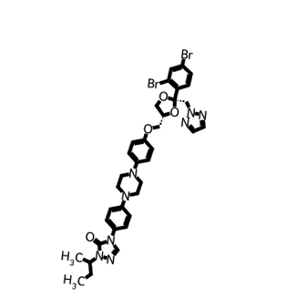 CCC(C)n1ncn(-c2ccc(N3CCN(c4ccc(OC[C@@H]5CO[C@@](Cn6nccn6)(c6ccc(Br)cc6Br)O5)cc4)CC3)cc2)c1=O